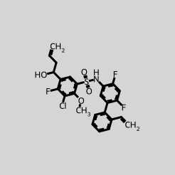 C=CCC(O)c1cc(S(=O)(=O)Nc2cc(-c3ccccc3C=C)c(F)cc2F)c(OC)c(Cl)c1F